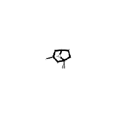 C[C@H]1CC2CC[C@H](C1)O2